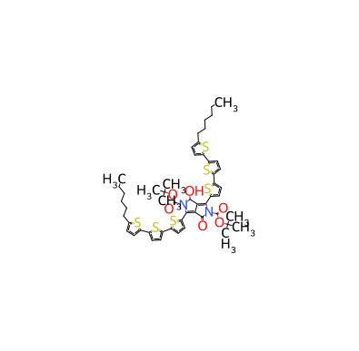 CCCCCCc1ccc(-c2ccc(-c3ccc(C4=C5C(=C(c6ccc(-c7ccc(-c8ccc(CCCCCC)s8)s7)s6)N(C(=O)OC(C)(C)C)C5O)C(=O)N4C(=O)OC(C)(C)C)s3)s2)s1